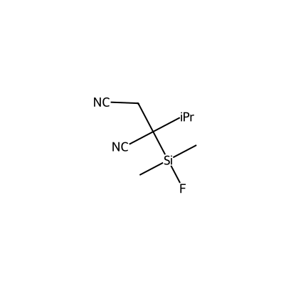 CC(C)C(C#N)(CC#N)[Si](C)(C)F